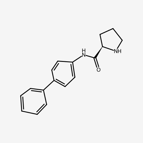 O=C(Nc1ccc(-c2ccccc2)cc1)[C@H]1CCCN1